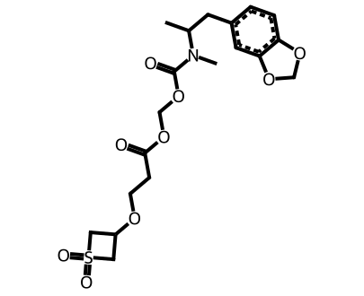 CC(Cc1ccc2c(c1)OCO2)N(C)C(=O)OCOC(=O)CCOC1CS(=O)(=O)C1